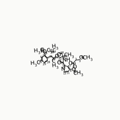 COCCC(=O)Oc1c(OC)ccnc1C(=O)N[C@](C)(C=O)CO[C@@H](C)[C@H](c1ccc(C)cc1OC)C(C)C